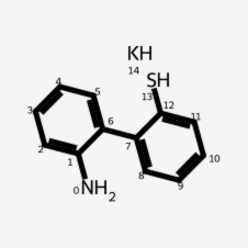 Nc1ccccc1-c1ccccc1S.[KH]